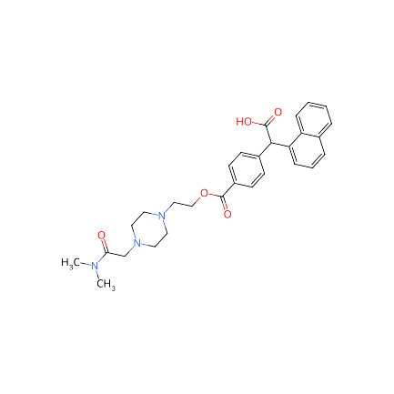 CN(C)C(=O)CN1CCN(CCOC(=O)c2ccc(C(C(=O)O)c3cccc4ccccc34)cc2)CC1